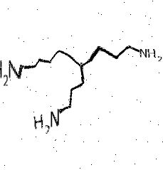 NCCC[C](CCCN)CCCN